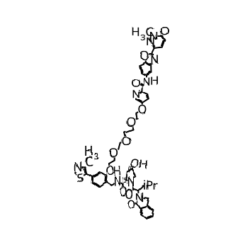 Cc1ncsc1-c1ccc(CNC(=O)[C@@H]2C[C@@H](O)CN2C(=O)C(C(C)C)N2Cc3ccccc3C2=O)c(OCCOCCOCCOCCOc2ccc(C(=O)Nc3ccc4oc(-c5ccc(=O)n(C)n5)nc4c3)nc2)c1